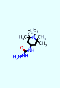 CN1C(C)(C)CC(NC(=O)NN)CC1(C)C